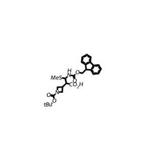 CSC(NC(=O)OCC1c2ccccc2-c2ccccc21)C(C(=O)O)C1CN(C(=O)OC(C)(C)C)C1